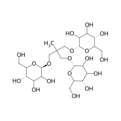 CC(CO[C@@H]1OC(CO)[C@@H](O)C(O)C1O)(CO[C@H]1OC(CO)[C@@H](O)C(O)C1O)CO[C@H]1OC(CO)[C@@H](O)C(O)C1O